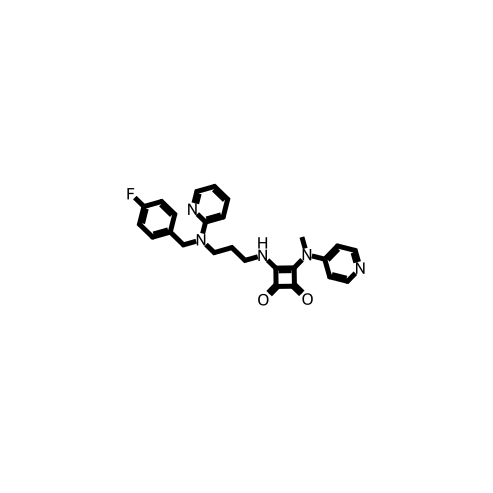 CN(c1ccncc1)c1c(NCCCN(Cc2ccc(F)cc2)c2ccccn2)c(=O)c1=O